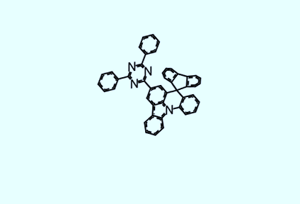 c1ccc(-c2nc(-c3ccccc3)nc(-c3cc4c5c(c3)c3ccccc3n5-c3ccccc3C43c4ccccc4-c4ccccc43)n2)cc1